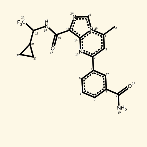 Cc1cc(-c2cccc(C(N)=O)c2)nc2c(C(=O)NC(C3CC3)C(F)(F)F)ncn12